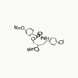 COc1ccc(P2(=O)NC(c3ccc(Cl)cc3)CC(OC)CO2)cc1